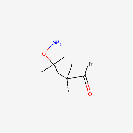 CC(C)C(=O)C(C)(C)CC(C)(C)ON